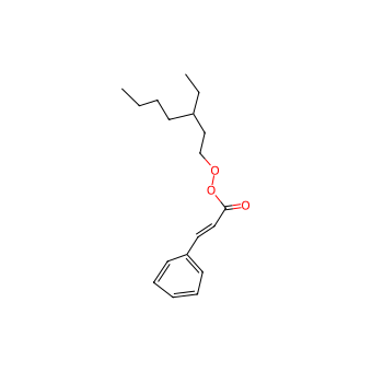 CCCCC(CC)CCOOC(=O)C=Cc1ccccc1